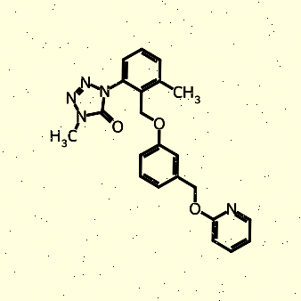 Cc1cccc(-n2nnn(C)c2=O)c1COc1cccc(COc2ccccn2)c1